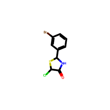 O=C1NC(c2cccc(Br)c2)SC1Cl